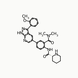 COc1ccccc1-c1n[nH]c2ncc(-c3ccc(NC(=O)[C@H]4CCCCN4)c(C(=O)N(C)C)c3)cc12